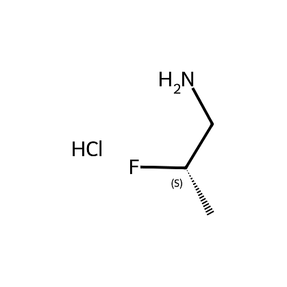 C[C@H](F)CN.Cl